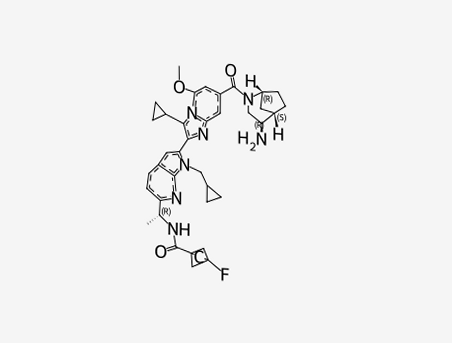 COc1cc(C(=O)N2C[C@H](N)[C@H]3CC[C@@H]2C3)cc2nc(-c3cc4ccc([C@@H](C)NC(=O)C56CC(F)(C5)C6)nc4n3CC3CC3)c(C3CC3)n12